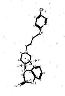 Cc1ccc(OCCCN2CC[C@H]3[C@@H](C2)c2cccc4c2N3CC(=O)N4)cc1